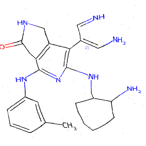 Cc1cccc(Nc2nc(NC3CCCCC3N)c(/C(C=N)=C/N)c3c2C(=O)NC3)c1